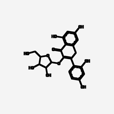 O=C1C(OC2OC(CO)C(O)C2O)=C(c2ccc(O)cc2O)Cc2cc(O)cc(O)c21